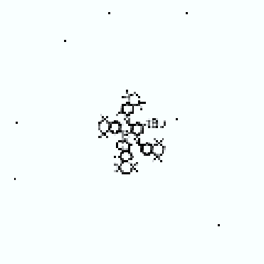 Cc1cc2c(cc1N1c3cc4c(cc3B3c5oc6cc7c(cc6c5N(c5ccc6c(c5)C(C)(C)CCC6(C)C)c5cc(C(C)(C)C)cc1c53)C(C)(C)CCC7(C)C)C(C)(C)CCC4(C)C)C(C)(C)CCC2(C)C